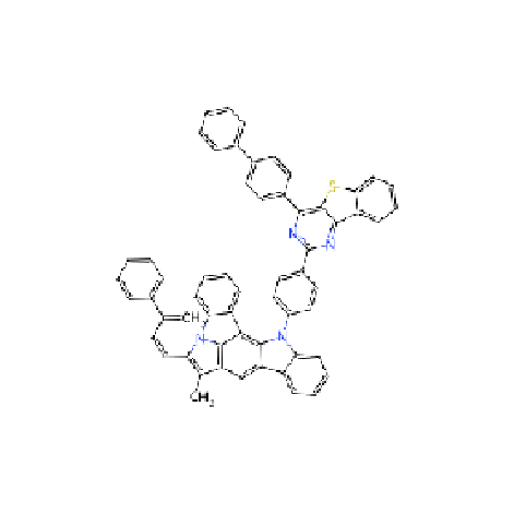 C=C(/C=C\c1c(C)c2cc3c4ccccc4n(-c4ccc(-c5nc(-c6ccc(-c7ccccc7)cc6)c6sc7ccccc7c6n5)cc4)c3c3c4ccccc4n1c23)c1ccccc1